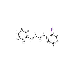 Ic1ccc[c]c1CCCCc1ccccc1